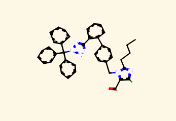 CCCCc1nc(Cl)c(C(=O)O)n1Cc1ccc(-c2ccccc2-c2nnn(C(c3ccccc3)(c3ccccc3)c3ccccc3)n2)cc1